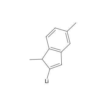 [Li][C]1=Cc2cc(C)ccc2C1C